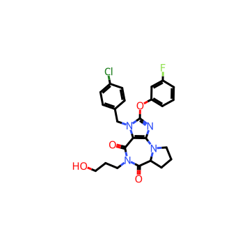 O=C1c2c(nc(Oc3cccc(F)c3)n2Cc2ccc(Cl)cc2)N2CCCC2C(=O)N1CCCO